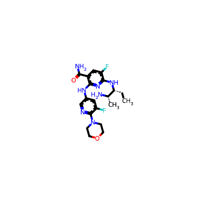 CC[C@@H](Nc1nc(Nc2cnc(N3CCOCC3)c(F)c2)c(C(N)=O)cc1F)[C@H](C)N